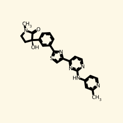 Cc1cc(Nc2nccc(-c3csc(-c4cccc([C@]5(O)CCN(C)C5=O)c4)n3)n2)ccn1